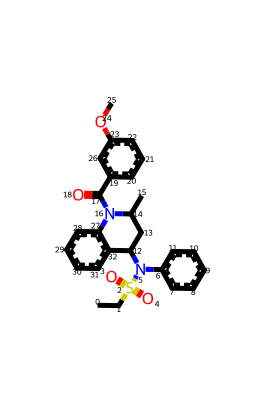 CCS(=O)(=O)N(c1ccccc1)C1CC(C)N(C(=O)c2cccc(OC)c2)c2ccccc21